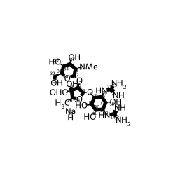 CN[C@@H]1[C@H](O[C@H]2[C@H](O[C@H]3[C@H](O)[C@@H](O)[C@H](NC(=N)N)[C@@H](O)[C@@H]3NC(=N)N)O[C@@H](C)[C@]2(O)C=O)O[C@@H](CO)[C@H](O)[C@H]1O.[NaH]